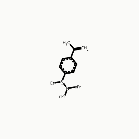 C=C(C)c1ccc([SiH](CC)N(CCC)CCC)cc1